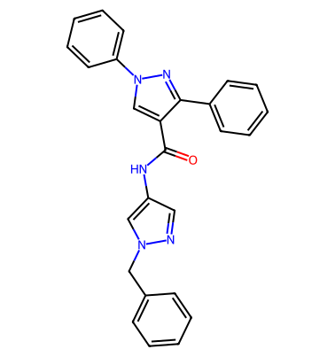 O=C(Nc1cnn(Cc2ccccc2)c1)c1cn(-c2ccccc2)nc1-c1ccccc1